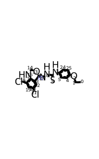 CCOc1ccc(NC(=S)N/N=C2\OCNc3c(Cl)cc(Cl)cc32)cc1